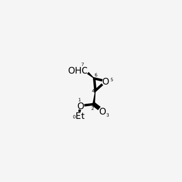 CCOC(=O)[C@@H]1O[C@@H]1C=O